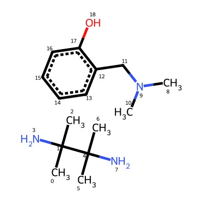 CC(C)(N)C(C)(C)N.CN(C)Cc1ccccc1O